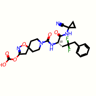 N#CC1(NC(=O)[C@H](CC(F)(F)Cc2ccccc2)NC(=O)N2CCC3(CC2)CC(OC(=O)O)=NO3)CC1